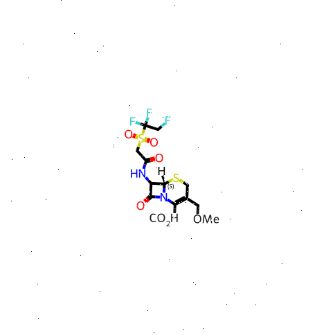 COCC1=C(C(=O)O)N2C(=O)C(NC(=O)CS(=O)(=O)C(F)(F)CF)[C@@H]2SC1